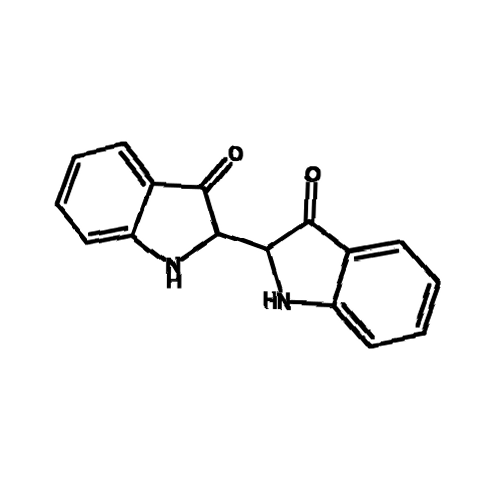 O=C1c2ccccc2NC1C1Nc2ccccc2C1=O